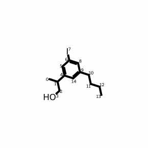 [CH2]C(CO)c1cc(I)cc(CCCC)c1